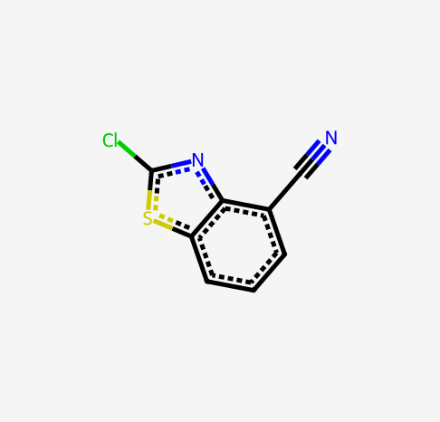 N#Cc1cccc2sc(Cl)nc12